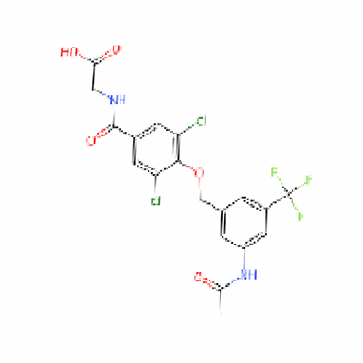 CC(=O)Nc1cc(COc2c(Cl)cc(C(=O)NCC(=O)O)cc2Cl)cc(C(F)(F)F)c1